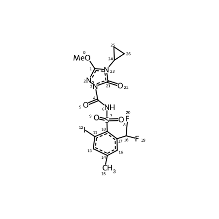 COc1nn(C(=O)NS(=O)(=O)c2c(I)cc(C)cc2C(F)F)c(=O)n1C1CC1